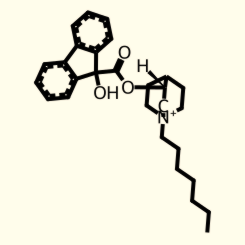 CCCCCCC[N+]12CCC(CC1)[C@@H](OC(=O)C1(O)c3ccccc3-c3ccccc31)C2